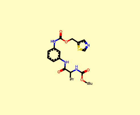 CC(C)C(NC(=O)OC(C)(C)C)C(=O)Nc1cccc(NC(=O)OCc2cncs2)c1